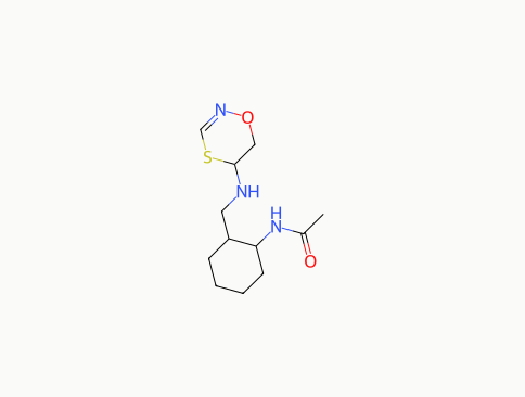 CC(=O)NC1CCCCC1CNC1CON=CS1